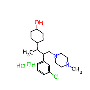 CC(C1CCC(O)CC1)C(CN1CCN(C)CC1)c1cccc(Cl)c1.Cl.Cl